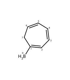 BC1=CC=CC=CC1